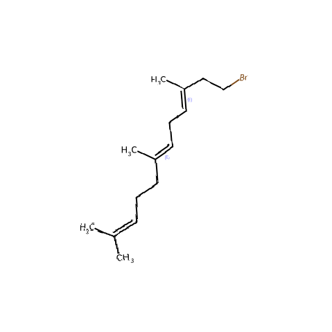 CC(C)=CCC/C(C)=C/C/C=C(\C)CCBr